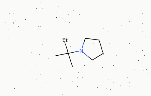 [CH2]CC(C)(C)N1CCCC1